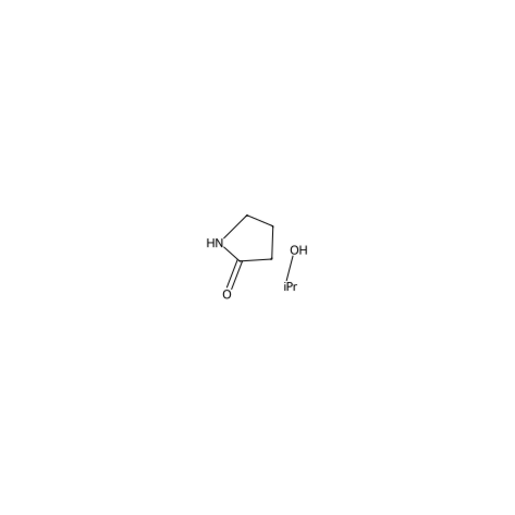 CC(C)O.O=C1CCCN1